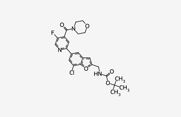 CC(C)(C)OC(=O)NCc1cc2cc(-c3cc(C(=O)N4CCOCC4)c(F)cn3)cc(Cl)c2o1